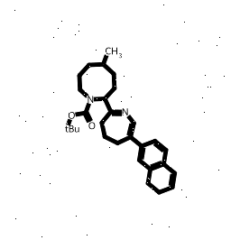 CC1CCCN(C(=O)OC(C)(C)C)C(C2=NC=C(c3ccc4c(c3)CCC=C4)CCC2)CC1